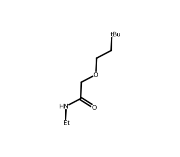 CCNC(=O)COCCC(C)(C)C